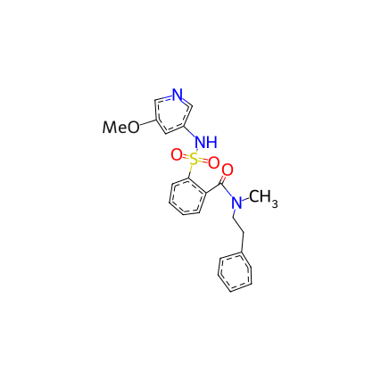 COc1cncc(NS(=O)(=O)c2ccccc2C(=O)N(C)CCc2ccccc2)c1